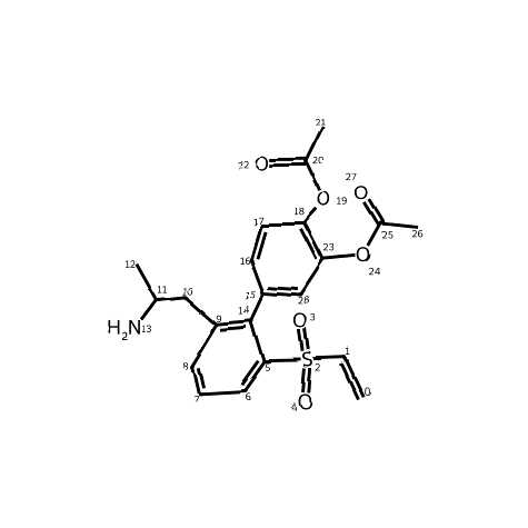 C=CS(=O)(=O)c1cccc(CC(C)N)c1-c1ccc(OC(C)=O)c(OC(C)=O)c1